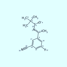 CC(=N[S@+]([O-])C(C)(C)C)c1cc(F)cc(C#N)c1